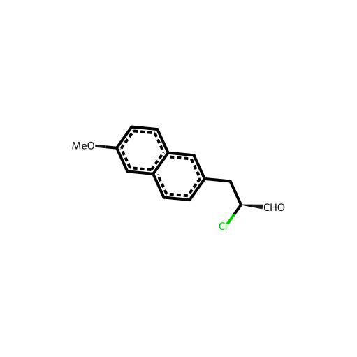 COc1ccc2cc(C[C@H](Cl)C=O)ccc2c1